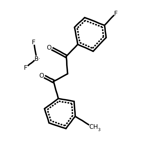 Cc1cccc(C(=O)CC(=O)c2ccc(F)cc2)c1.F[B]F